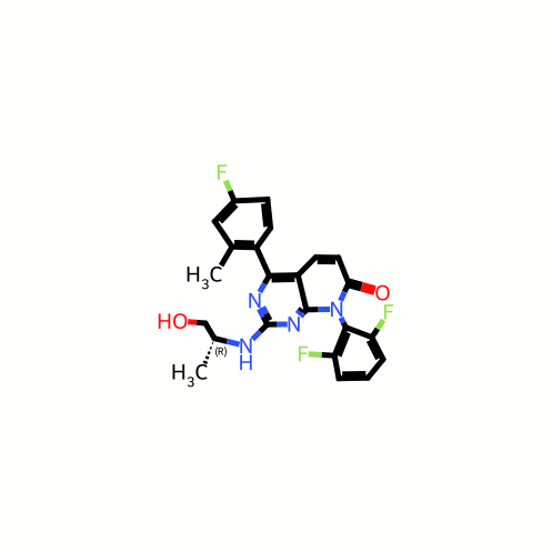 Cc1cc(F)ccc1-c1nc(N[C@H](C)CO)nc2c1ccc(=O)n2-c1c(F)cccc1F